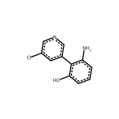 Nc1cccc(O)c1-c1cncc(Cl)c1